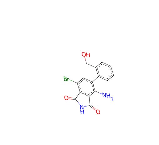 Nc1c(-c2ccccc2CO)cc(Br)c2c1C(=O)NC2=O